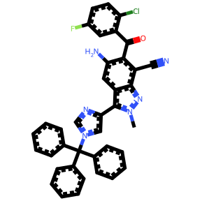 Cn1nc2c(C#N)c(C(=O)c3cc(F)ccc3Cl)c(N)cc2c1-c1cn(C(c2ccccc2)(c2ccccc2)c2ccccc2)cn1